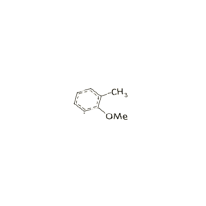 COc1[c]cccc1C